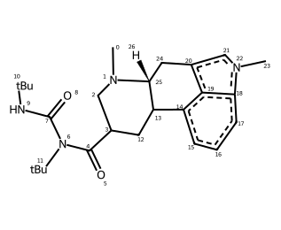 CN1CC(C(=O)N(C(=O)NC(C)(C)C)C(C)(C)C)CC2c3cccc4c3c(cn4C)C[C@H]21